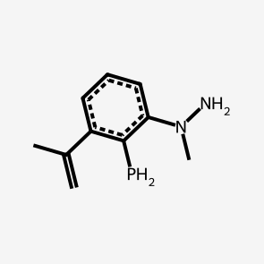 C=C(C)c1cccc(N(C)N)c1P